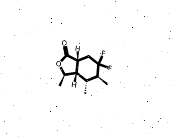 C[C@@H]1[C@@H]2[C@@H](C)OC(=O)[C@@H]2CC(F)(F)[C@H]1C